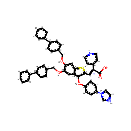 O=C(O)/C(=C/c1sc2cc(OCc3ccc(-c4ccccc4)cc3)c(OCc3ccc(-c4ccccc4)cc3)cc2c1Oc1ccc(-n2ccnc2)cc1)c1ccncc1